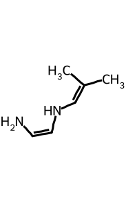 CC(C)=CN/C=C\N